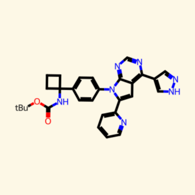 CC(C)(C)OC(=O)NC1(c2ccc(-n3c(-c4ccccn4)cc4c(-c5cn[nH]c5)ncnc43)cc2)CCC1